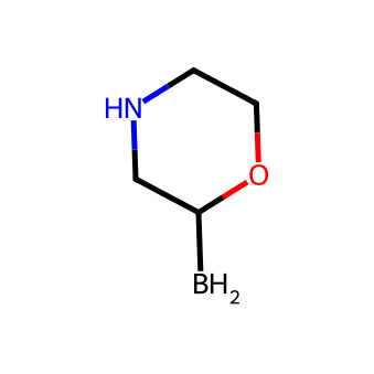 BC1CNCCO1